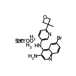 CC1(c2ccc(Nc3c(N)cnc4ccc(Br)cc34)cn2)COC1.O.O.[Cl-].[Cl-].[Sn+2]